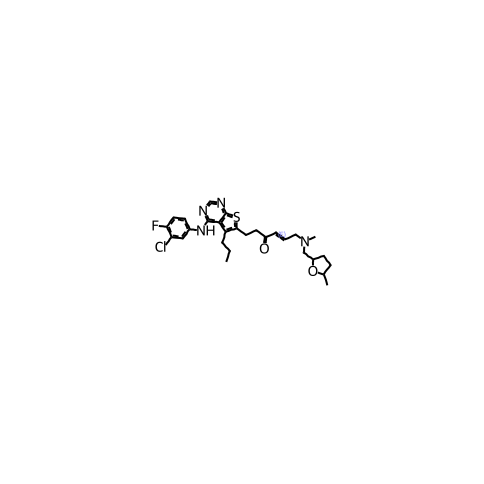 CCCc1c(CCC(=O)/C=C/CN(C)CC2CCC(C)O2)sc2ncnc(Nc3ccc(F)c(Cl)c3)c12